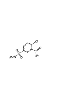 CNS(=O)(=O)c1ccc(Cl)c(C(=O)C(C)C)c1